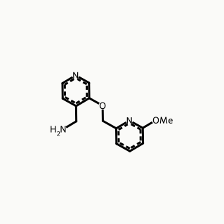 COc1cccc(COc2cnccc2CN)n1